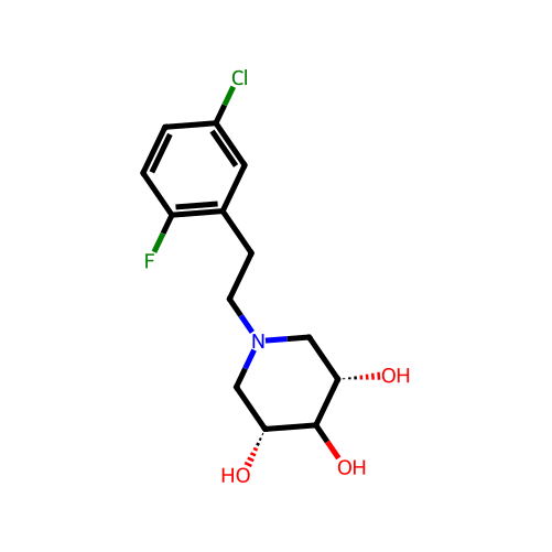 OC1[C@H](O)CN(CCc2cc(Cl)ccc2F)C[C@@H]1O